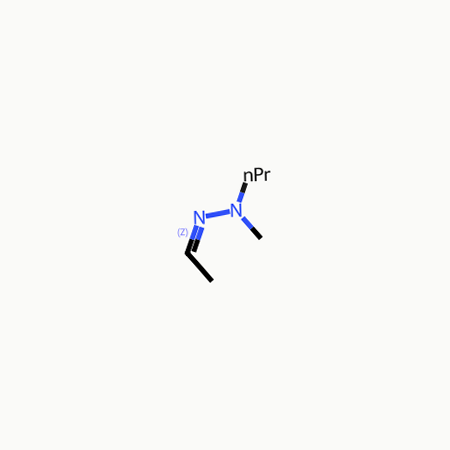 C/C=N\N(C)CCC